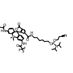 CC(=O)Nc1ccc2c(c1)[Si](C)(C)c1cc(NC(=O)C(F)(F)F)ccc1C21OC(=O)c2ccc(C(=O)NCCCCCCOP(OCCC#N)N(C(C)C)C(C)C)cc21